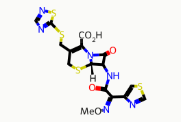 CO/N=C(\C(=O)NC1C(=O)N2C(C(=O)O)=C(CSc3ncns3)CS[C@@H]12)c1cscn1